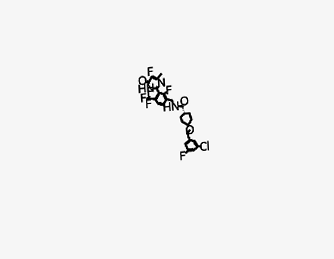 Cc1nc(-c2c(C(F)(F)F)ccc(CNC(=O)[C@H]3CC[C@H](OCc4cc(F)cc(Cl)c4)CC3)c2F)[nH]c(=O)c1F